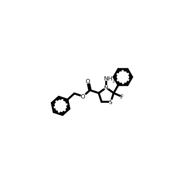 NN1C(C(=O)OCc2ccccc2)CSC1(F)c1ccccc1